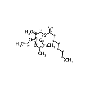 CCCCCCCC(=O)SCC(C)[Si](OCC)(OCC)OCC